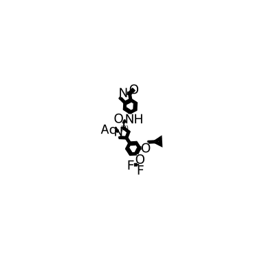 CC(=O)N1CC(c2ccc(OC(F)F)c(OCC3CC3)c2)C[C@@H]1C(=O)Nc1ccc2c(c1)C=NC2=O